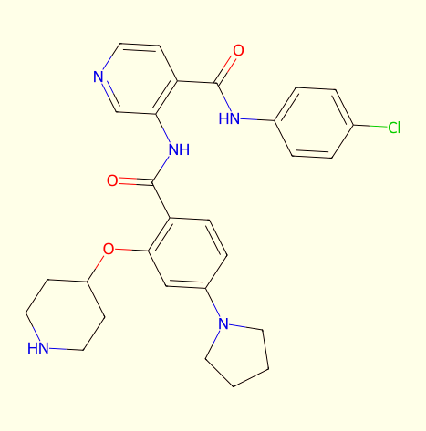 O=C(Nc1ccc(Cl)cc1)c1ccncc1NC(=O)c1ccc(N2CCCC2)cc1OC1CCNCC1